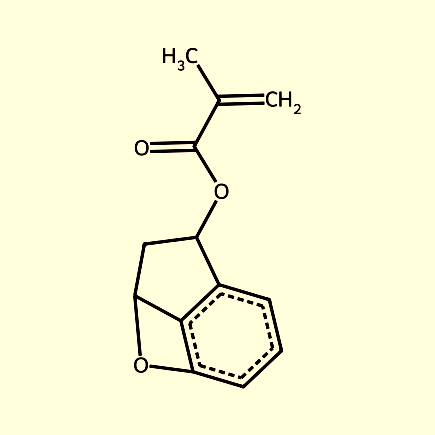 C=C(C)C(=O)OC1CC2Oc3cccc1c32